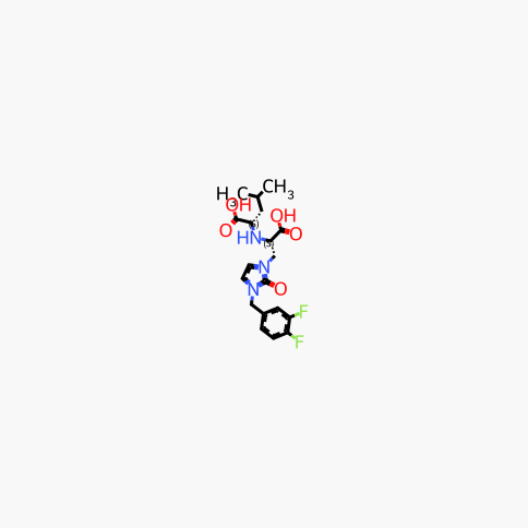 CC(C)C[C@H](N[C@@H](Cn1ccn(Cc2ccc(F)c(F)c2)c1=O)C(=O)O)C(=O)O